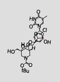 Cc1cn([C@H]2C[C@H](O)[C@@H](CO[C@@H]3O[C@@]4(CO)CN(C(=O)OC(C)(C)C)C[C@@H]3[C@@H]4OCc3ccc(Cl)cc3)O2)c(=O)[nH]c1=O